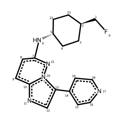 FC[C@H]1CC[C@H](Nc2ccc3ncc(-c4ccncc4)n3n2)CC1